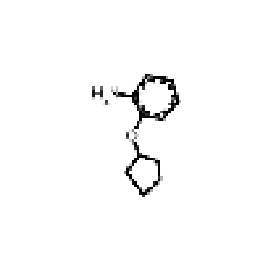 Nc1ccccc1OC1CCCC1